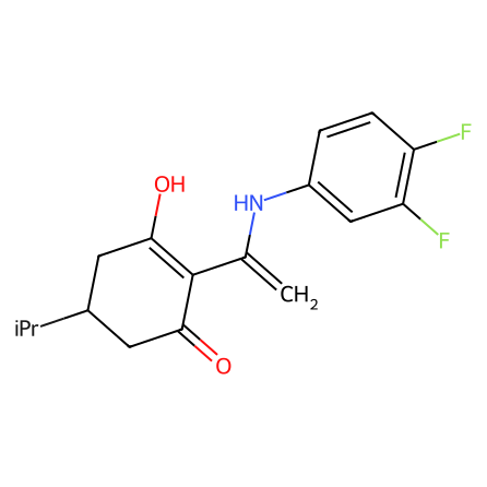 C=C(Nc1ccc(F)c(F)c1)C1=C(O)CC(C(C)C)CC1=O